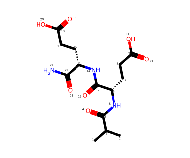 CC(C)C(=O)N[C@@H](CCC(=O)O)C(=O)N[C@@H](CCC(=O)O)C(N)=O